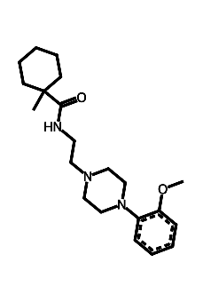 COc1ccccc1N1CCN(CCNC(=O)C2(C)CCCCC2)CC1